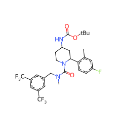 Cc1cc(F)ccc1C1CC(NC(=O)OC(C)(C)C)CCN1C(=O)N(C)Cc1cc(C(F)(F)F)cc(C(F)(F)F)c1